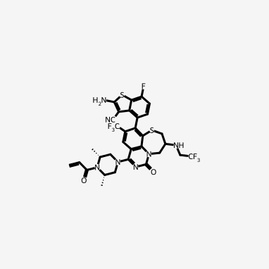 C=CC(=O)N1[C@H](C)CN(c2nc(=O)n3c4c(c(-c5ccc(F)c6sc(N)c(C#N)c56)c(C(F)(F)F)cc24)SCC(NCC(F)(F)F)C3)C[C@@H]1C